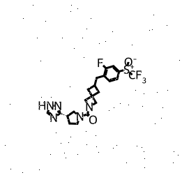 O=C(N1CC[C@H](c2nc[nH]n2)C1)N1CC2(CC(Cc3ccc([S+]([O-])C(F)(F)F)cc3F)C2)C1